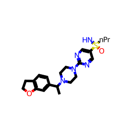 CCCS(=N)(=O)c1cnc(N2CCN(C(C)c3ccc4c(c3)OCC4)CC2)nc1